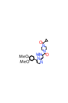 COc1ccc(C2=CC=N/C(=C/C(=N)C(=O)N3CCN(C(=O)C4CC4)CC3)N2)cc1OC